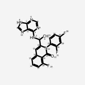 CC(Nc1ncnc2[nH]cnc12)c1cc2cccc(F)c2c(=O)n1-c1ccc(F)cc1F